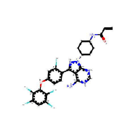 C=CC(=O)N[C@H]1CC[C@H](n2nc(-c3ccc(Oc4c(F)c(F)cc(F)c4F)cc3F)c3c(N)ncnc32)CC1